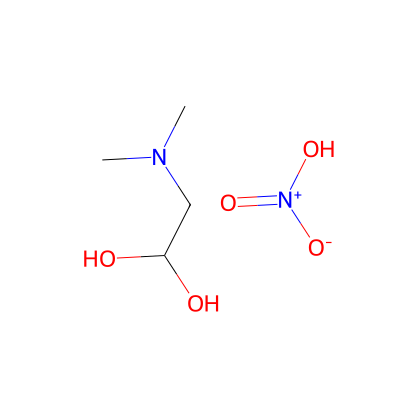 CN(C)CC(O)O.O=[N+]([O-])O